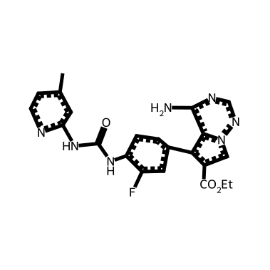 CCOC(=O)c1cn2ncnc(N)c2c1-c1ccc(NC(=O)Nc2cc(C)ccn2)c(F)c1